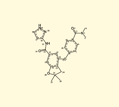 CN(C)C(=O)c1ccc(Oc2cc(C(=O)Nc3cc[nH]n3)cc3c2CC(C)(C)O3)cc1